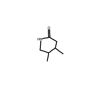 CC1CNC(=O)CC1C